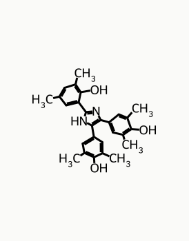 Cc1cc(C)c(O)c(-c2nc(-c3cc(C)c(O)c(C)c3)c(-c3cc(C)c(O)c(C)c3)[nH]2)c1